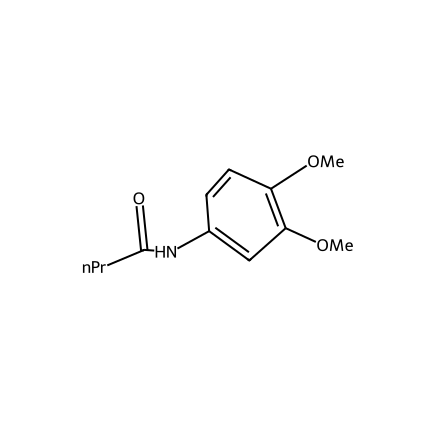 [CH2]CCC(=O)Nc1ccc(OC)c(OC)c1